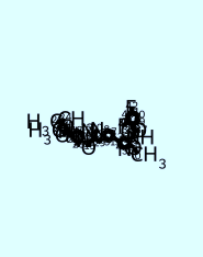 COc1ncc(-c2ccc3nc(N)c(C(=O)N4CCN(C(=O)OC(C)(C)C)CC4)cc3c2)cc1NS(=O)(=O)c1ccc(F)cc1F